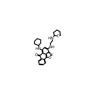 O=C1c2ccccc2-c2onc3c(NCCNC4CCCCC4)cc(NC4CCCCC4)c1c23